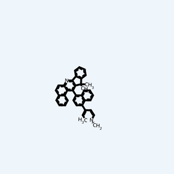 C=N/C=C\C(=C/C)c1ccc(-c2c3c(nc4ccc5ccccc5c24)-c2ccccc2C3(C)C)c2ccccc12